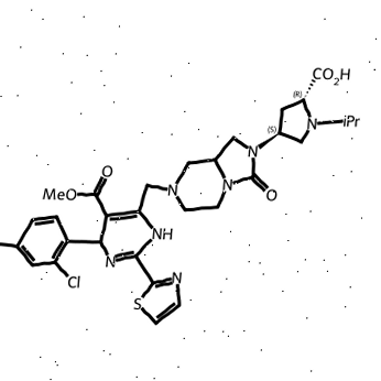 COC(=O)C1=C(CN2CCN3C(=O)N([C@H]4C[C@H](C(=O)O)N(C(C)C)C4)CC3C2)NC(c2nccs2)=NC1c1ccc(F)cc1Cl